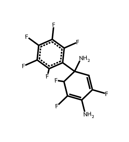 NC1=C(F)C(F)C(N)(c2c(F)c(F)c(F)c(F)c2F)C=C1F